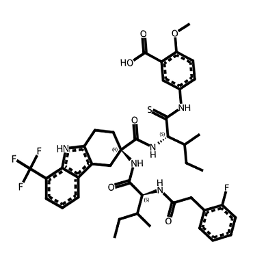 CCC(C)[C@H](NC(=O)Cc1ccccc1F)C(=O)N[C@]1(C(=O)N[C@H](C(=S)Nc2ccc(OC)c(C(=O)O)c2)C(C)CC)CCc2[nH]c3c(C(F)(F)F)cccc3c2C1